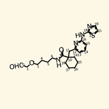 O=CCOCCCCNC(=O)C1(Cc2cccc(Nc3nccs3)n2)CCCCC1